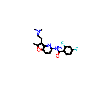 Cc1oc2ccc(NC(=O)c3ccc(F)cc3F)nc2c1CCN(C)C